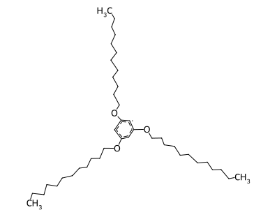 CCCCCCCCCCCCOc1[c]c(OCCCCCCCCCCCC)cc(OCCCCCCCCCCCC)c1